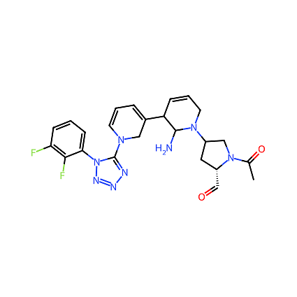 CC(=O)N1CC(N2CC=CC(C3=CC=CN(c4nnnn4-c4cccc(F)c4F)C3)C2N)C[C@H]1C=O